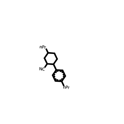 CCCc1ccc(C2CCC(CCC)CC2C#N)cc1